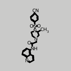 CC1CN(CC(=O)Nc2cccc3ncccc23)CCN1S(=O)(=O)c1ccc(C#N)cc1